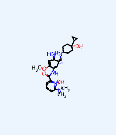 COC1=CC(=N)/C(=C\N[C@H]2CC[C@@](O)(C3CC3)CC2)C=C1NC(=O)c1cccc(N(C)C)[n+]1O